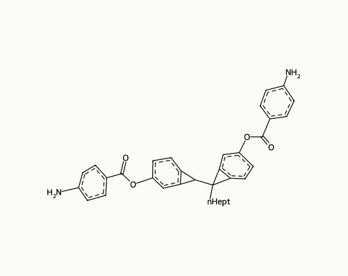 CCCCCCCC1(C2c3ccc(OC(=O)c4ccc(N)cc4)cc32)c2ccc(OC(=O)c3ccc(N)cc3)cc21